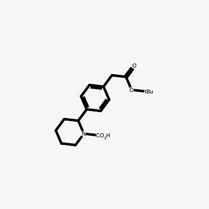 CC(C)(C)OC(=O)Cc1ccc(C2CCCCN2C(=O)O)cc1